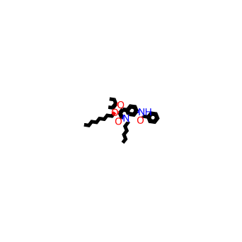 CC=C(CC)Oc1c(OCCCCCCCC)c(=O)n(CCCCCC)c2cc(NC(=O)c3ccccc3)ccc12